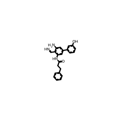 N=Cc1c(N)cc(-c2cccc(O)c2)cc1NC(=O)CCc1ccccc1